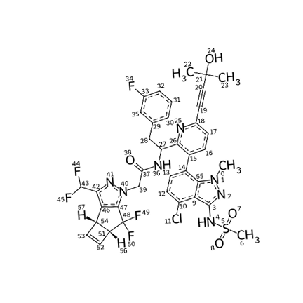 Cn1nc(NS(C)(=O)=O)c2c(Cl)ccc(-c3ccc(C#CC(C)(C)O)nc3C(Cc3cccc(F)c3)NC(=O)Cn3nc(C(F)F)c4c3C(F)(F)[C@@H]3C=C[C@H]43)c21